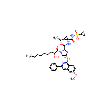 C=CCCCCCC(O)C(=O)N1C[C@H](Oc2nc(-c3ccccc3)cc3cc(OC)ccc23)CC1C(=O)N[C@]1(C(=O)NS(=O)(=O)C2CC2)CC1C=C